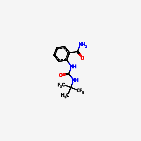 CC(NC(=O)Nc1ccccc1C(N)=O)(C(F)(F)F)C(F)(F)F